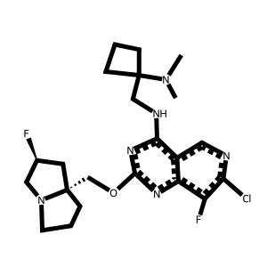 CN(C)C1(CNc2nc(OC[C@]34CCCN3C[C@@H](F)C4)nc3c(F)c(Cl)ncc23)CCC1